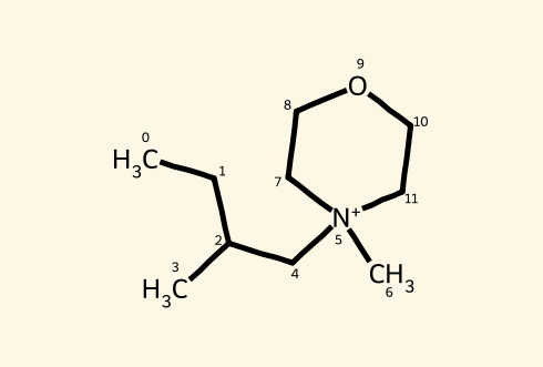 CCC(C)C[N+]1(C)CCOCC1